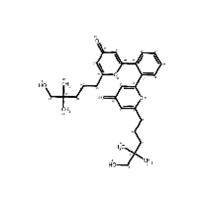 CC(C)(CO)CCCc1cc(=O)cc(-c2ccccc2-c2cc(=O)cc(CCCC(C)(C)CO)o2)o1